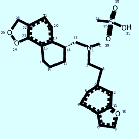 CN(CCc1ccc2ccoc2c1)C[C@@H]1CCCc2c1ccc1c2OOC1.CS(=O)(=O)O